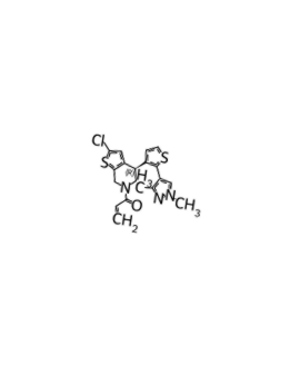 C=CC(=O)N1Cc2sc(Cl)cc2[C@@H](c2ccsc2-c2cn(C)nc2C)C1